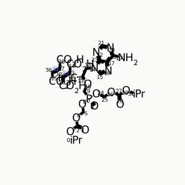 CC(C)OC(=O)OCOP(=O)(CO[C@H](C)Cn1cnc2c(N)ncnc21)OCOC(=O)OC(C)C.O=C(O)/C=C/C(=O)O.O=C(O)/C=C/C(=O)O